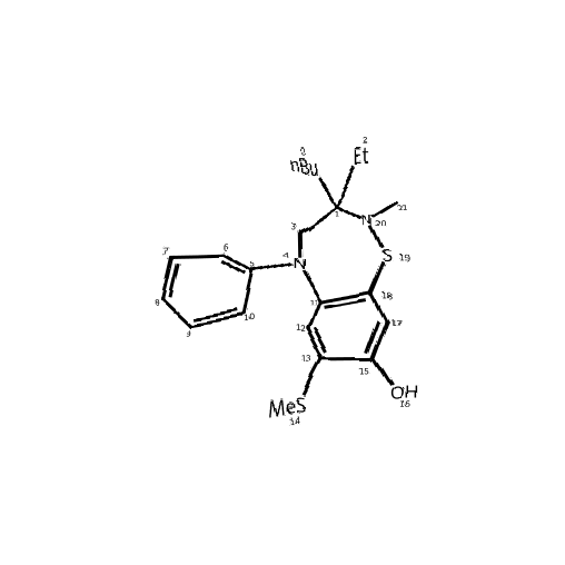 CCCCC1(CC)CN(c2ccccc2)c2cc(SC)c(O)cc2SN1C